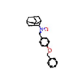 [O-][N+](=Cc1ccc(OCc2ccccc2)cc1)C1C2CC3CC(C2)CC1C3